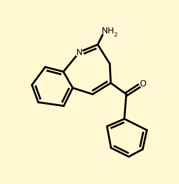 NC1=Nc2ccccc2C=C(C(=O)c2ccccc2)C1